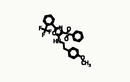 COc1ccc(CCNc2oc(-c3ccccc3C(F)(F)F)nc2S(=O)(=O)c2ccccc2)cc1